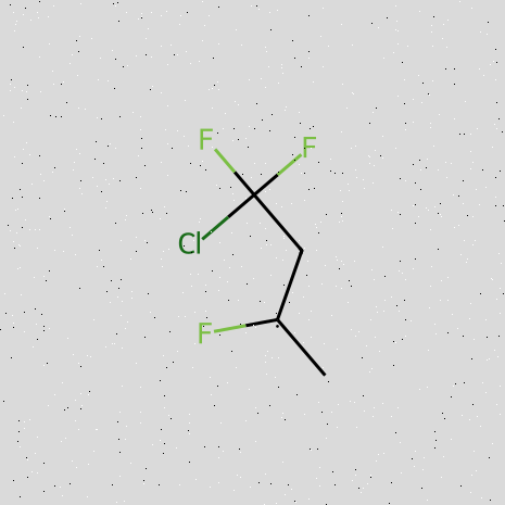 C[C](F)CC(F)(F)Cl